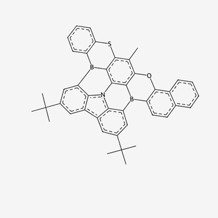 Cc1c2c3c4c5c1Sc1ccccc1B5c1cc(C(C)(C)C)cc5c6cc(C(C)(C)C)cc(c6n-4c15)B3c1ccc3ccccc3c1O2